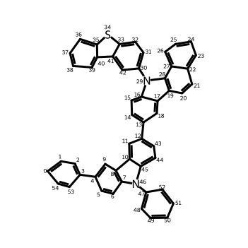 c1ccc(-c2ccc3c(c2)c2cc(-c4ccc5c(c4)c4ccc6ccccc6c4n5-c4ccc5sc6ccccc6c5c4)ccc2n3-c2ccccc2)cc1